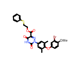 COc1ccc(Oc2c(C)cc(-n3nc(C(=O)OCCSc4ccccc4)c(=O)[nH]c3=O)cc2C)cc1Br